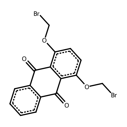 O=C1c2ccccc2C(=O)c2c(OCBr)ccc(OCBr)c21